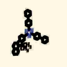 CC1(C)c2cc(-c3nc(-c4ccc(-c5ccccc5)cc4)nc(-c4ccc(-c5ccccc5)cc4)n3)ccc2-c2ccc3ccccc3c21